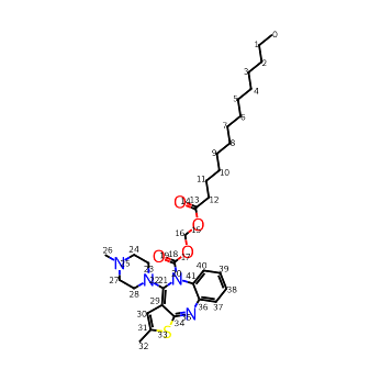 CCCCCCCCCCCCCC(=O)OCOC(=O)N1C(N2CCN(C)CC2)=c2cc(C)sc2=Nc2ccccc21